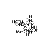 COc1cc(C2CCCN(CC(C)(C)O)C2)ccc1Nc1ncc(Br)c(NCc2cccc3c2C(C)(C)C(=O)N3)n1